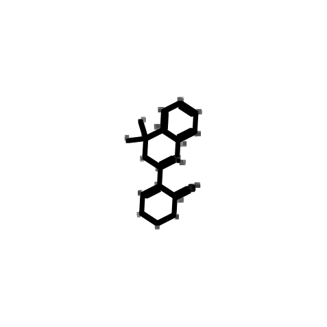 CC1(C)CC(C2=CCCCC2=O)=Nc2ccccc21